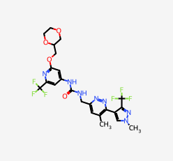 Cc1cc(CNC(=O)Nc2cc(OCC3COCCO3)nc(C(F)(F)F)c2)nnc1-c1cn(C)nc1C(F)(F)F